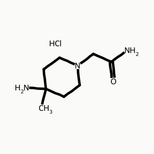 CC1(N)CCN(CC(N)=O)CC1.Cl